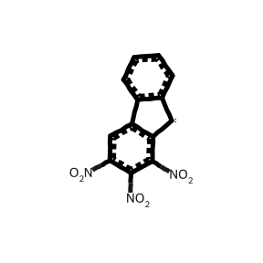 O=[N+]([O-])c1cc2c(c([N+](=O)[O-])c1[N+](=O)[O-])[C]c1ccccc1-2